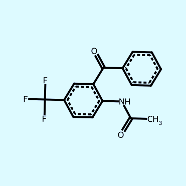 CC(=O)Nc1ccc(C(F)(F)F)cc1C(=O)c1ccccc1